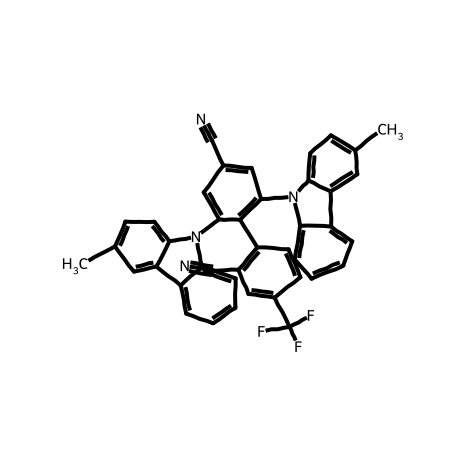 Cc1ccc2c(c1)c1ccccc1n2-c1cc(C#N)cc(-n2c3ccccc3c3cc(C)ccc32)c1-c1ccc(C(F)(F)F)cc1C#N